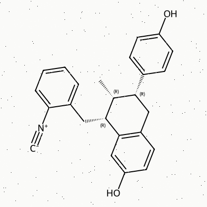 [C-]#[N+]c1ccccc1C[C@H]1c2cc(O)ccc2C[C@@H](c2ccc(O)cc2)[C@H]1C